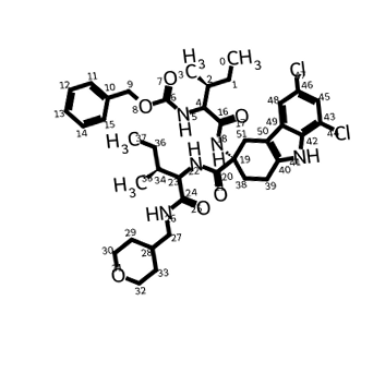 CC[C@H](C)C(NC(=O)OCc1ccccc1)C(=O)N[C@@]1(C(=O)NC(C(=O)NCC2CCOCC2)[C@@H](C)CC)CCc2[nH]c3c(Cl)cc(Cl)cc3c2C1